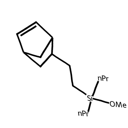 CCC[Si](CCC)(CCC1CC2C=CC1C2)OC